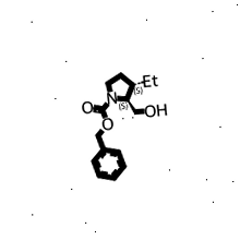 CC[C@H]1CCN(C(=O)OCc2ccccc2)[C@@H]1CO